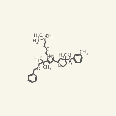 Cc1cccc(S(=O)(=O)C2(C)CCOC(c3cc(C(C)(C)COCc4ccccc4)n(COCC[Si](C)(C)C)n3)C2)c1